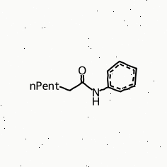 [CH2]CCCCCC(=O)Nc1ccccc1